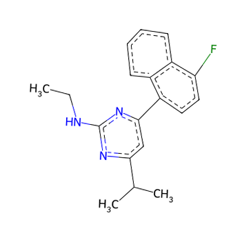 CCNc1nc(-c2ccc(F)c3ccccc23)cc(C(C)C)n1